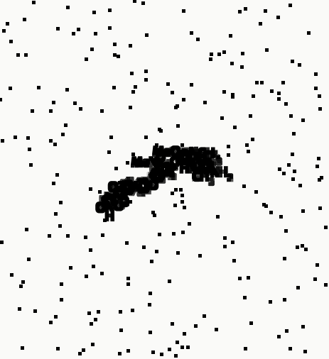 CNC(=O)C(CC1(COc2cc3c(N[C@H](C)c4cc(N)cc(C(F)(F)F)c4)nc(C)nc3cc2OC)CC1)N1CCC(OC2CCN(c3ccc4c(c3)C(=O)N(C3CCC(=O)NC3=O)C4=O)CC2)CC1